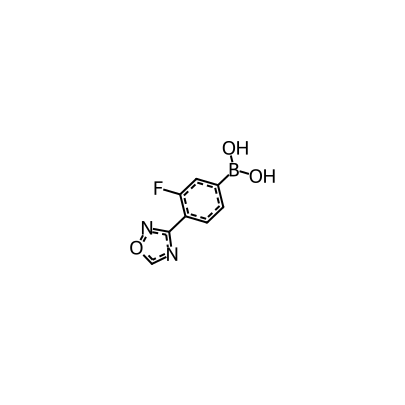 OB(O)c1ccc(-c2ncon2)c(F)c1